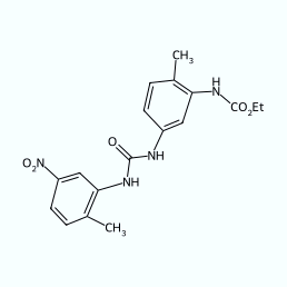 CCOC(=O)Nc1cc(NC(=O)Nc2cc([N+](=O)[O-])ccc2C)ccc1C